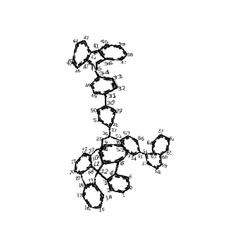 c1ccc2c(c1)-c1ccccc1C21c2ccccc2-c2cccc(CCC(c3ccc(-c4ccc(-n5c6ccccc6c6ccccc65)cc4)cc3)c3ccc(-c4cccc5ccccc45)cc3)c21